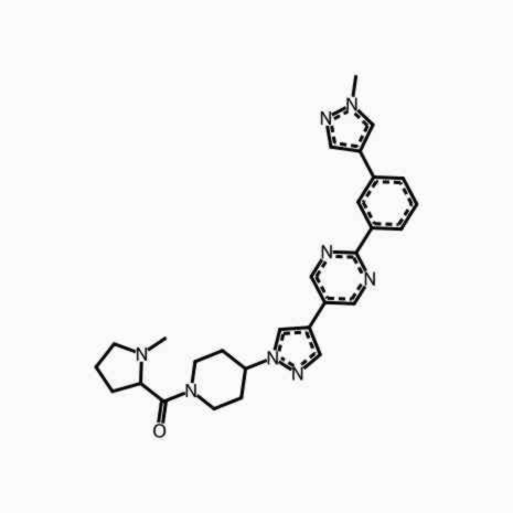 CN1CCCC1C(=O)N1CCC(n2cc(-c3cnc(-c4cccc(-c5cnn(C)c5)c4)nc3)cn2)CC1